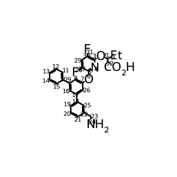 CCC(Oc1nc(Oc2cc(-c3ccccc3)cc(-c3cccc(CN)c3)c2)c(F)cc1F)C(=O)O